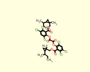 CCC(C)C1CC1(C)COC(=O)c1c(Cl)c(Cl)cc(Cl)c1OC(=O)C(=O)Oc1c(Cl)cc(Cl)c(Cl)c1C(=O)OCC1(C)CC1C(C)CC